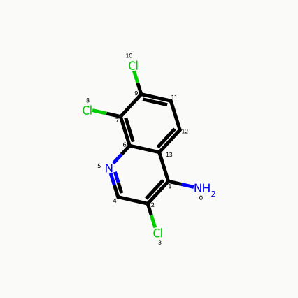 Nc1c(Cl)cnc2c(Cl)c(Cl)ccc12